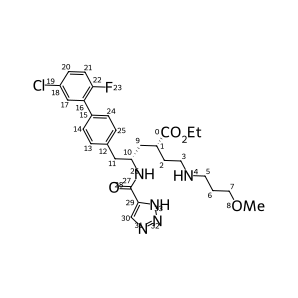 CCOC(=O)[C@H](CCNCCCOC)C[C@@H](Cc1ccc(-c2cc(Cl)ccc2F)cc1)NC(=O)c1cnn[nH]1